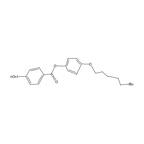 CCCCCCCCc1ccc(C(=O)Oc2ccc(OCCCCCC(C)CC)cc2)cc1